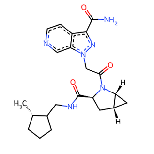 C[C@H]1CCCC1CNC(=O)[C@@H]1C[C@H]2C[C@H]2N1C(=O)Cn1nc(C(N)=O)c2ccncc21